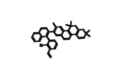 C=Cc1cccc(-c2c(-c3cc4ccc5c(c4cc3C)C(C)(C)CC3=C5C=CC(C)(C)C3)ccc3ccccc23)c1Br